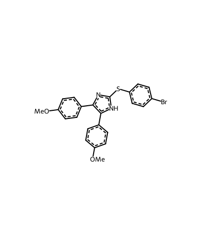 COc1ccc(-c2nc(Sc3ccc(Br)cc3)[nH]c2-c2ccc(OC)cc2)cc1